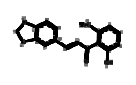 COc1cccc(O)c1C(=O)/C=C/c1ccc2c(c1)OCO2